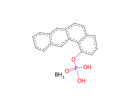 B.O=P(O)(O)Oc1cccc2ccc3cc4ccccc4cc3c12